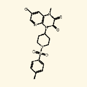 Cc1ccc(S(=O)(=O)N2CCC(n3c(=O)c(=O)n(C)c4cc(Cl)cnc43)CC2)cc1